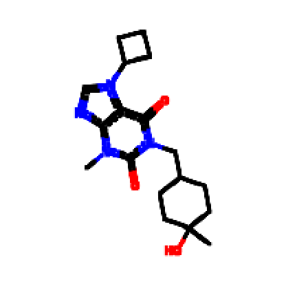 Cn1c(=O)n(CC2CCC(C)(O)CC2)c(=O)c2c1ncn2C1CCC1